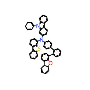 C1=CC2Oc3c(-c4ccccc4-c4ccc(N(c5ccc6c7ccccc7n(C7=CCCC=C7)c6c5)c5cccc6c5sc5ccccc56)cc4)cccc3C2C=C1